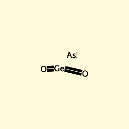 [As].[O]=[Ge]=[O]